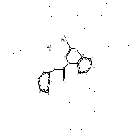 CC1=NN(C(=O)Cc2ccccc2)c2ccncc2N1.Cl